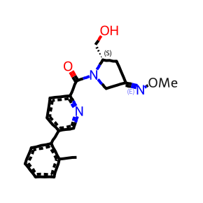 CO/N=C1\C[C@@H](CO)N(C(=O)c2ccc(-c3ccccc3C)cn2)C1